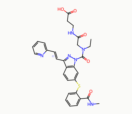 CCN(CC(=O)NCCC(=O)O)C(=O)n1nc(/C=C/c2ccccn2)c2ccc(Sc3ccccc3C(=O)NC)cc21